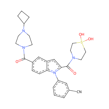 N#Cc1cccc(-n2c(C(=O)N3CCS(O)(O)CC3)cc3cc(C(=O)N4CCN(C5CCC5)CC4)ccc32)c1